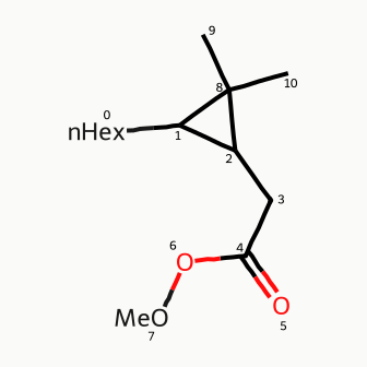 CCCCCCC1C(CC(=O)OOC)C1(C)C